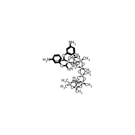 CCCC(Oc1cccc(N)c1)[Si](C)(O[Si](C)(C)O[Si](C)(C)O[Si](C)(C)O[Si](C)(C)O[Si](C)(C)O[Si](C)(C)O[Si](C)(C)C)C(CCC)Oc1cccc(N)c1